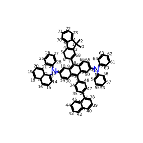 CC1(C)C2=C(CCC(c3c4cc(N(C5=CC=CC6C=CC=CC56)c5ccccc5)ccc4c(-c4ccc(-c5cccc6ccccc56)cc4)c4cc(N(c5ccccc5)c5ccccc5)ccc34)=C2)c2ccccc21